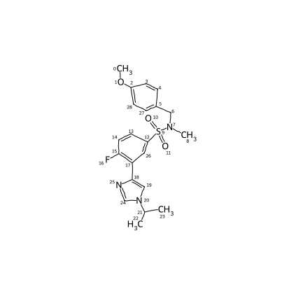 COc1ccc(CN(C)S(=O)(=O)c2ccc(F)c(-c3cn(C(C)C)cn3)c2)cc1